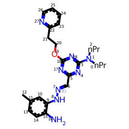 CCCN(CCC)c1nc(/C=N/Nc2cc(C)ccc2N)nc(OCCc2ccccn2)n1